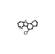 Clc1cc2ccccc2c2sc3cccnc3c12